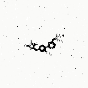 Cc1cc(CC2SC(=O)NC2=O)ccc1-c1cccc(CN(C)C(=O)O)c1